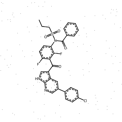 CCCS(=O)(=O)N(C(=O)c1ccccc1)c1ccc(F)c(C(=O)c2c[nH]c3ncc(-c4ccc(Cl)cc4)cc23)c1F